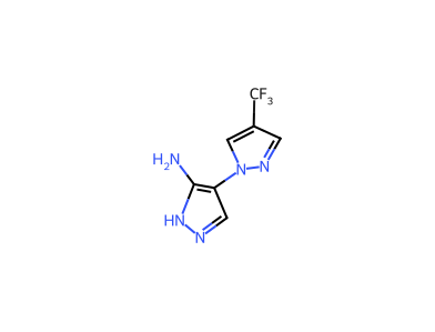 Nc1[nH]ncc1-n1cc(C(F)(F)F)cn1